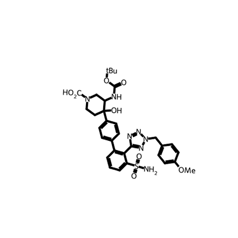 COc1ccc(Cn2nnc(-c3c(-c4ccc(C5(O)CCN(C(=O)O)CC5NC(=O)OC(C)(C)C)cc4)cccc3S(N)(=O)=O)n2)cc1